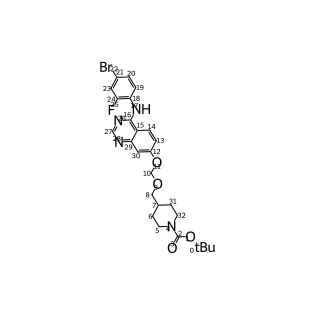 CC(C)(C)OC(=O)N1CCC(COCOc2ccc3c(Nc4ccc(Br)cc4F)ncnc3c2)CC1